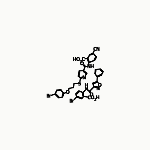 N#Cc1ccc(NC(=O)c2ccc(SCCCOc3ccc(Br)cc3)nc2)c(C(=O)O)c1.O=C(Nc1ccc(Br)cc1C(=O)O)c1cc(-c2ccccc2)on1